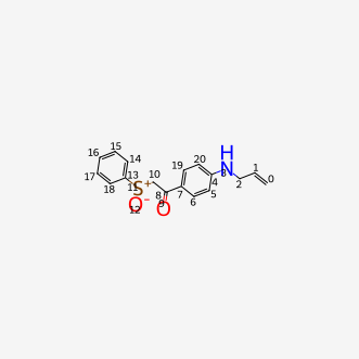 C=CCNc1ccc(C(=O)C[S+]([O-])c2ccccc2)cc1